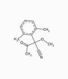 COC(C#N)(C(C)=O)c1c(C)cccc1C